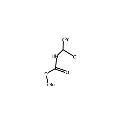 CCCCOC(=O)NC(O)CCC